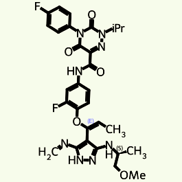 C=Nc1[nH]nc(N[C@@H](C)COC)c1/C(=C\C)Oc1ccc(NC(=O)c2nn(C(C)C)c(=O)n(-c3ccc(F)cc3)c2=O)cc1F